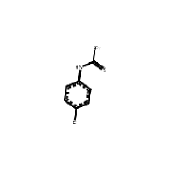 CC(C)C(=S)Nc1ccc(Cl)cc1